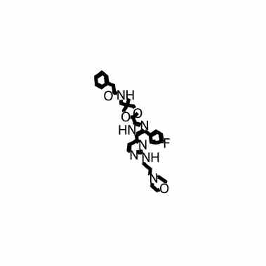 CC1(CNC(=O)Cc2ccccc2)COC(c2nc(-c3ccc(F)cc3)c(-c3ccnc(NCCCN4CCOCC4)n3)[nH]2)OC1